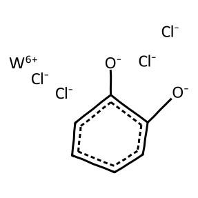 [Cl-].[Cl-].[Cl-].[Cl-].[O-]c1ccccc1[O-].[W+6]